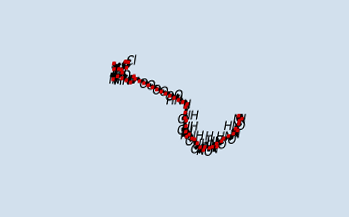 Cc1sc2c(c1C)C(c1ccc(Cl)cc1)=N[C@@H](CC(=O)Nc1ccc(CCCOCCOCCOCCOCCOCCC(=O)NCCCN(C)CCCNC(=O)CCNC(=O)c3nc(NC(=O)CCNC(=O)c4cc(NC(=O)c5nc(NC(=O)CCNC(=O)c6cc(NC(=O)c7nccn7C)cn6C)cn5C)cn4C)cn3C)cc1)c1nnc(C)n1-2